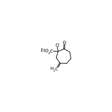 C=C1CCCC(=O)C(Cl)(C(=O)OCC)C1